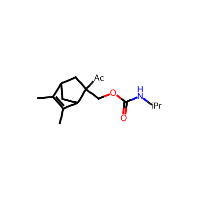 CC(=O)C1(COC(=O)NC(C)C)CC2CC1C(C)=C2C